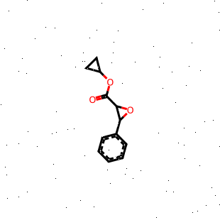 O=C(OC1CC1)C1OC1c1ccccc1